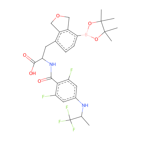 CC(Nc1cc(F)c(C(=O)NC(Cc2ccc(B3OC(C)(C)C(C)(C)O3)c3c2COC3)C(=O)O)c(F)c1)C(F)(F)F